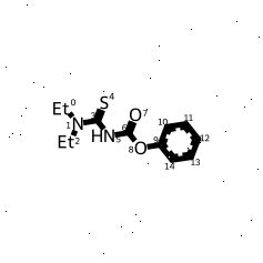 CCN(CC)C(=S)NC(=O)Oc1ccccc1